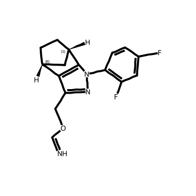 N=COCc1nn(-c2ccc(F)cc2F)c2c1[C@@H]1CC[C@H]2C1